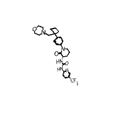 O=C(Nc1ccc(C(F)(F)F)cn1)N[C@@H]1CCCN(c2ccc(C3(CN4CCOCC4)CCC3)cc2)C1=O